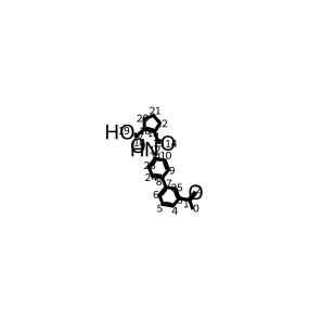 CC(=O)c1cccc(-c2ccc(NC(=O)C3=C(C(=O)O)CCC3)cc2)c1